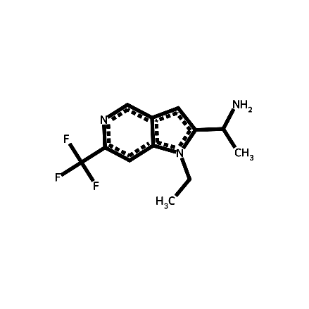 CCn1c(C(C)N)cc2cnc(C(F)(F)F)cc21